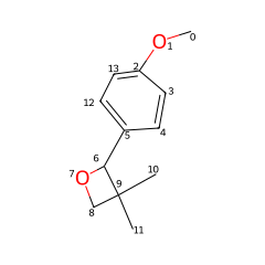 COc1ccc(C2OCC2(C)C)cc1